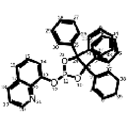 C1=CC(C2(c3ccccc3)OP(Oc3cccc4cccnc34)OC2(c2ccccc2)c2ccccc2)=CCC1